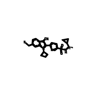 C[C@H](NS(=O)(=O)c1ccc(-c2c(C#N)c3ccc(CF)cc3n2C2CCC2)nc1)C1CC1